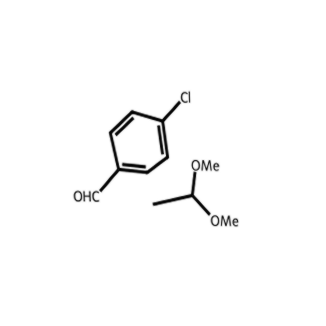 COC(C)OC.O=Cc1ccc(Cl)cc1